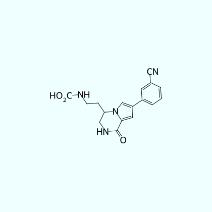 N#Cc1cccc(-c2cc3n(c2)C(CCNC(=O)O)CNC3=O)c1